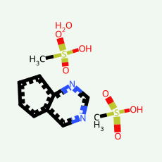 CS(=O)(=O)O.CS(=O)(=O)O.O.c1ccc2ncncc2c1